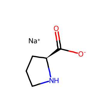 O=C([O-])[C@@H]1CCCN1.[Na+]